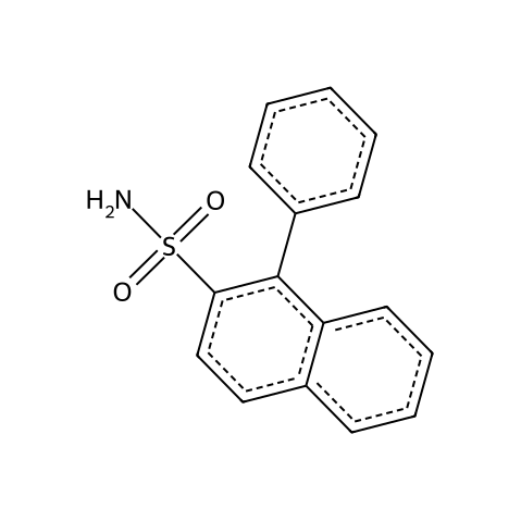 NS(=O)(=O)c1ccc2ccccc2c1-c1ccccc1